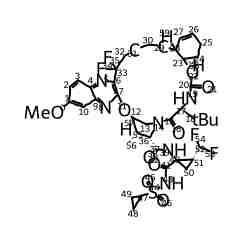 COc1ccc2nc3c(nc2c1)O[C@H]1CN(C(=O)[C@H](C(C)(C)C)NC(=O)O[C@@H]2CCC=C[C@H]2CCCCC3(F)F)[C@H](C(=O)N[C@]2(C(=O)NS(=O)(=O)C3CC3)C[C@H]2C(F)F)[C@@H]1C